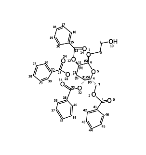 O=C(OC[C@H]1O[C@H](OCCO)[C@H](OC(=O)c2ccccc2)[C@@H](OC(=O)c2ccccc2)[C@H]1OC(=O)c1ccccc1)c1ccccc1